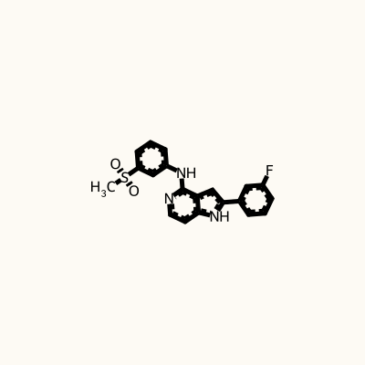 CS(=O)(=O)c1cccc(Nc2nccc3[nH]c(-c4cccc(F)c4)cc23)c1